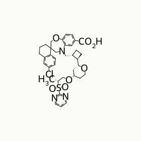 C[C@H](CO[C@H]1CCO[C@@H]([C@@H]2CC[C@H]2CN2CC3(CCCc4cc(Cl)ccc43)COc3ccc(C(=O)O)cc32)C1)S(=O)(=O)c1ncccn1